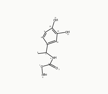 CCCCOC(=O)NC(C)c1ccc(O)c(O)c1